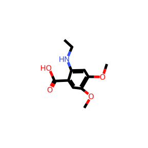 CCNc1cc(OC)c(OC)cc1C(=O)O